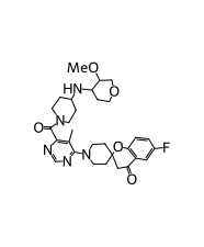 COC1COCCC1NC1CCN(C(=O)c2ncnc(N3CCC4(CC3)CC(=O)c3cc(F)ccc3O4)c2C)CC1